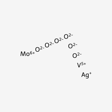 [Ag+].[Mo+6].[O-2].[O-2].[O-2].[O-2].[O-2].[O-2].[V+5]